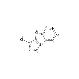 Clc1ccsc1Cl.c1cncnc1